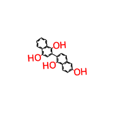 Oc1ccc2c(O)c(-c3cc(O)c4ccccc4c3O)ccc2c1